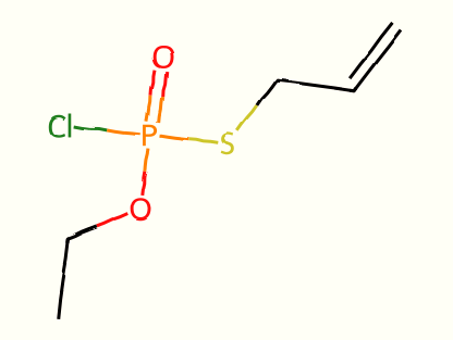 C=CCSP(=O)(Cl)OCC